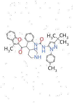 Cc1ccc(-n2nc(C(C)(C)C)cc2NC(=O)Nc2ccccc2C(C(=O)c2oc3ccccc3c2C)C2CCNCC2)cc1